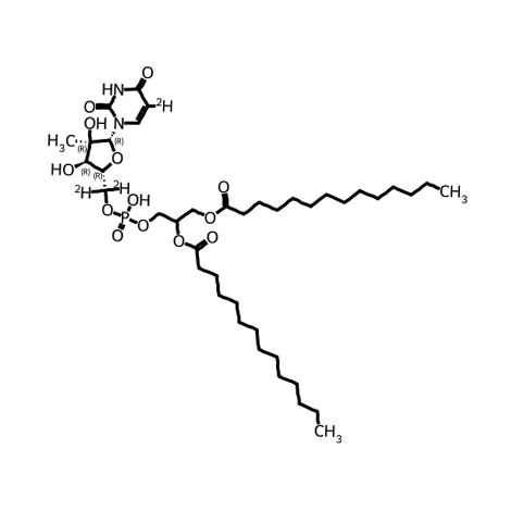 [2H]c1cn([C@@H]2O[C@H](C([2H])([2H])OP(=O)(O)OCC(COC(=O)CCCCCCCCCCCCC)OC(=O)CCCCCCCCCCCCC)[C@@H](O)[C@@]2(C)O)c(=O)[nH]c1=O